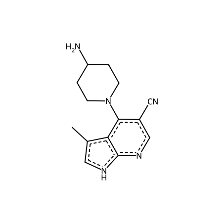 Cc1c[nH]c2ncc(C#N)c(N3CCC(N)CC3)c12